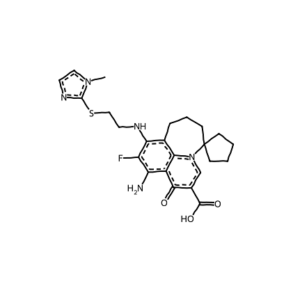 Cn1ccnc1SCCNc1c(F)c(N)c2c(=O)c(C(=O)O)cn3c2c1CCCC31CCCC1